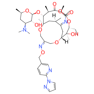 CC[C@H]1OC(=O)[C@H](C)C(=O)[C@H](C)[C@@H](O[C@@H]2O[C@H](C)C[C@H](N(C)C)[C@H]2O)[C@@]2(C)C[C@@H](C)/C(=N\C(C)=O)C[C@@H](OC/C(=N\OCc3ccc(-n4cccn4)nc3)CO2)[C@]1(C)O